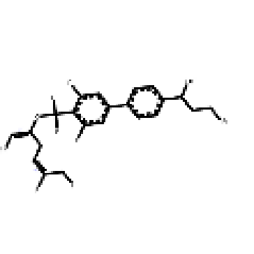 CC/C=C(\C/C=C(/F)CF)OC(F)(F)c1c(F)cc(-c2ccc(C(O)CCC(C)C)cc2)cc1F